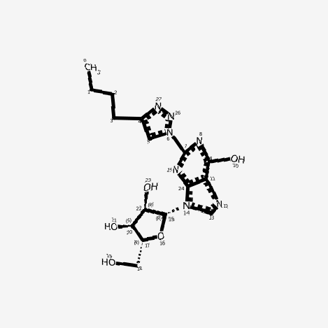 CCCCc1cn(-c2nc(O)c3ncn([C@@H]4O[C@H](CO)[C@@H](O)[C@H]4O)c3n2)nn1